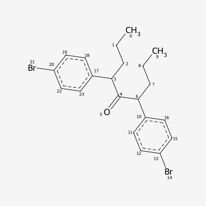 CCCC(C(=O)C(CCC)c1ccc(Br)cc1)c1ccc(Br)cc1